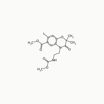 COC(=O)NCCN1C(=O)C(C)(C)Oc2cc(I)c(C(=O)OC)cc21